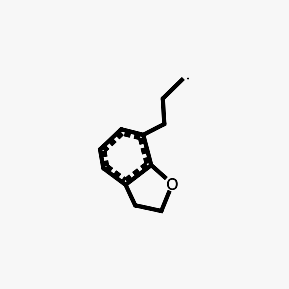 [CH2]CCc1cccc2c1OCC2